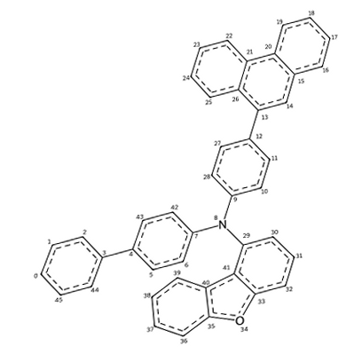 c1ccc(-c2ccc(N(c3ccc(-c4cc5ccccc5c5ccccc45)cc3)c3cccc4oc5ccccc5c34)cc2)cc1